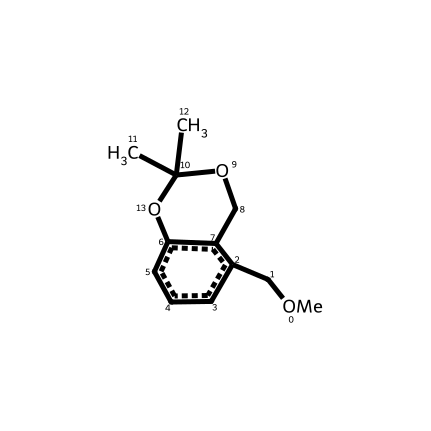 COCc1cccc2c1COC(C)(C)O2